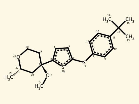 CO[C@]1(c2ccc(Sc3ccc(C(C)(C)C)cc3)s2)CCO[C@@H](C)C1